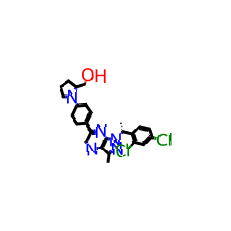 Cc1nn([C@H](C)c2ccc(Cl)cc2Cl)c2nc(C3=CCC(N4CCCC4CO)CC3)cnc12